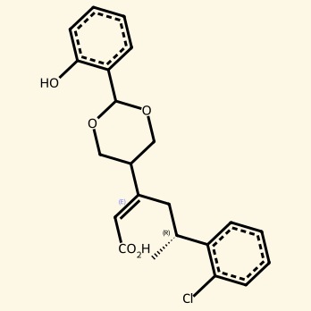 C[C@H](C/C(=C\C(=O)O)C1COC(c2ccccc2O)OC1)c1ccccc1Cl